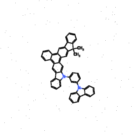 CC1(C)c2ccccc2-c2cc3c4ccccc4c4cc5c6ccccc6n(-c6cccc(-n7c8ccccc8c8ccccc87)c6)c5cc4c3cc21